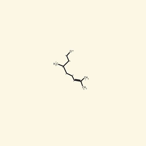 CC(C)=CCCC(C)CC[O]